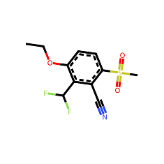 CCOc1ccc(S(C)(=O)=O)c(C#N)c1C(F)F